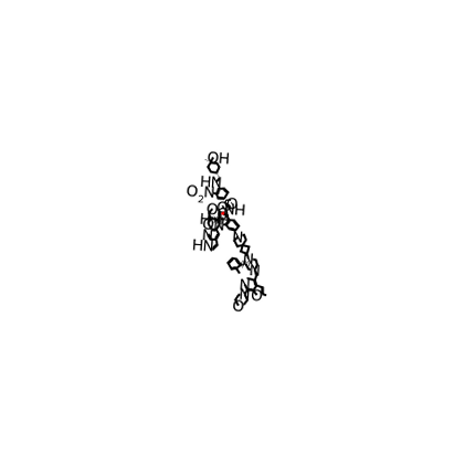 Cc1cc2c(CN3CCN(C4CC5(CCN(c6ccc(C(=O)NS(=O)(=O)c7ccc(NC[C@H]8CC[C@](C)(O)CC8)c([N+](=O)[O-])c7)c(N7c8cc9cc[nH]c9nc8O[C@H]8COCC[C@@H]87)c6)CC5)C4)[C@H](c4ccccc4C)C3)cnc(N3CCOCC3)c2o1